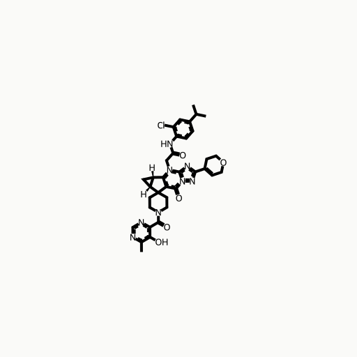 Cc1ncnc(C(=O)N2CCC3(CC2)c2c(n(CC(=O)Nc4ccc(C(C)C)cc4Cl)c4nc(C5=CCOCC5)nn4c2=O)[C@H]2C[C@H]23)c1O